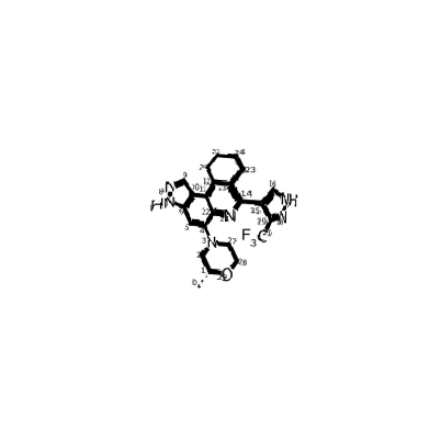 C[C@@H]1CN(c2cc3[nH]ncc3c3c4c(c(-c5c[nH]nc5C(F)(F)F)nc23)CCCC4)CCO1